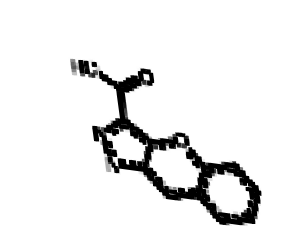 O=C(O)c1nnc2cc3ccccc3oc1-2